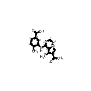 CC(=O)c1cn2ncnc(Nc3cc(C(=O)O)ccc3C)c2c1C